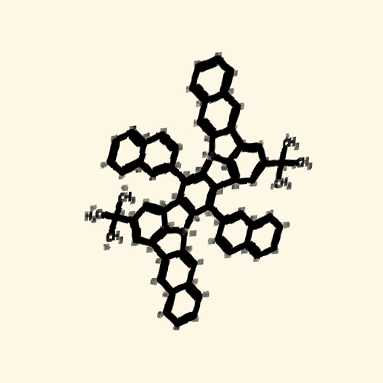 CC(C)(C)c1cc2c3cc4ccccc4cc3n3c4c(-c5ccc6ccccc6c5)c5c6cc(C(C)(C)C)cc7c8cc9ccccc9cc8n(c5c(-c5ccc8ccccc8c5)c4c(c1)c23)c76